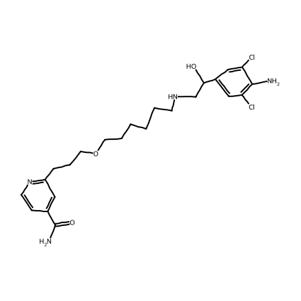 NC(=O)c1ccnc(CCCOCCCCCCNCC(O)c2cc(Cl)c(N)c(Cl)c2)c1